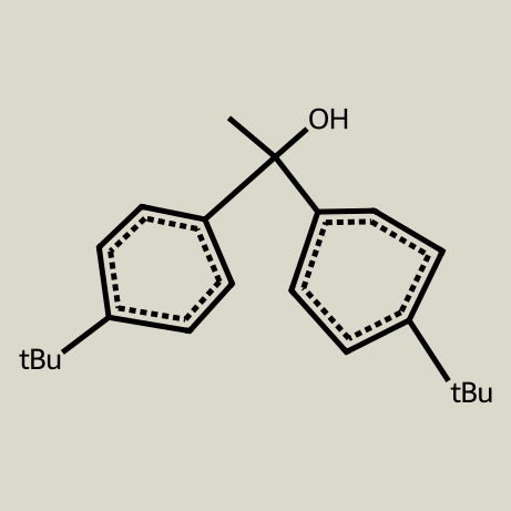 CC(C)(C)c1ccc(C(C)(O)c2ccc(C(C)(C)C)cc2)cc1